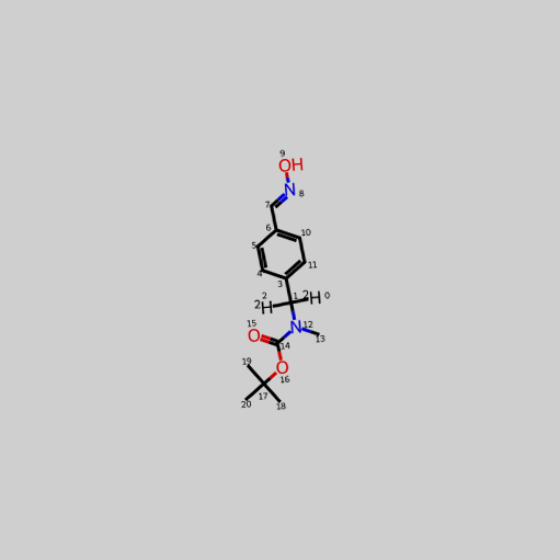 [2H]C([2H])(c1ccc(/C=N/O)cc1)N(C)C(=O)OC(C)(C)C